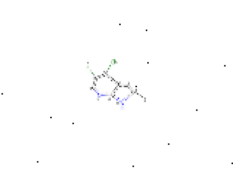 Cc1cc2c(Cl)c(F)cnc2[nH]1